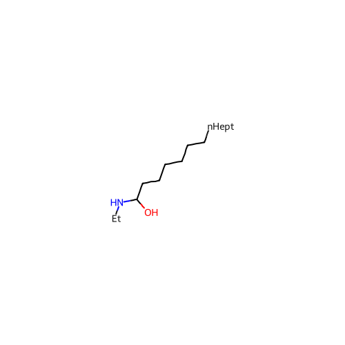 CCCCCCCCCCCCCC(O)NCC